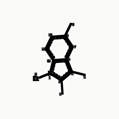 CCn1c(C)c(C)c2cc(C)ccc21